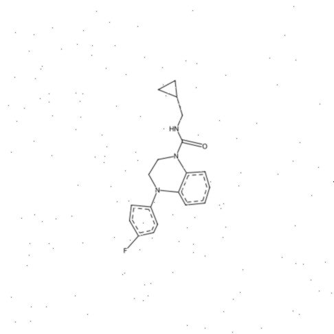 O=C(NCC1CC1)N1CCN(c2ccc(F)cc2)c2ccccc21